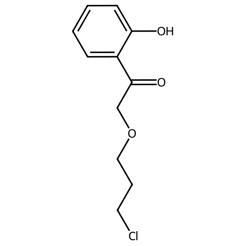 O=C(COCCCCl)c1ccccc1O